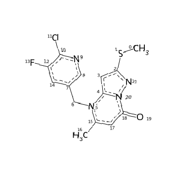 CSc1cc2n(Cc3cnc(Cl)c(F)c3)c(C)cc(=O)n2n1